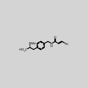 CN[C@@H](Cc1ccc(CNC(=O)/C=C/C(C)=O)cc1)C(=O)O